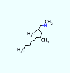 C=NCC(CC)CC(C)CCCCCC